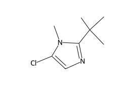 Cn1c(Cl)cnc1C(C)(C)C